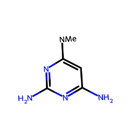 CNc1cc(N)nc(N)n1